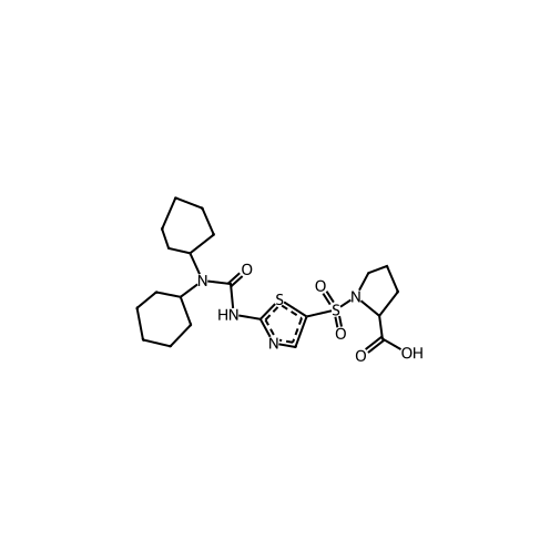 O=C(O)C1CCCN1S(=O)(=O)c1cnc(NC(=O)N(C2CCCCC2)C2CCCCC2)s1